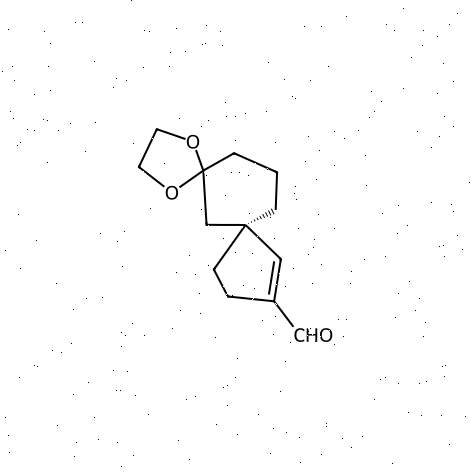 O=CC1=C[C@@]2(CCCC3(C2)OCCO3)CC1